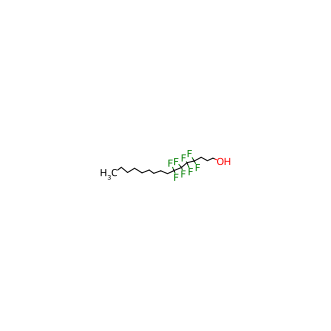 CCCCCCCCCC(F)(F)C(F)(F)C(F)(F)C(F)(F)CCCO